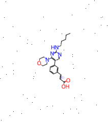 CCCCCNc1ncc(-c2cccc(/C=C/C(=O)O)c2)c(N2CCOCC2)n1